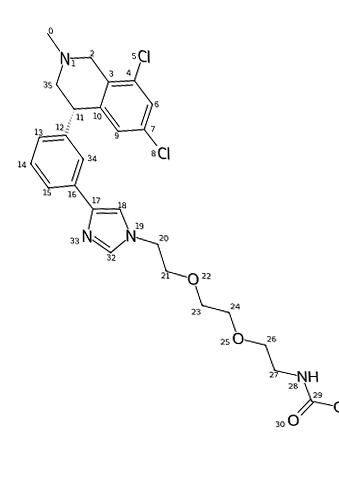 CN1Cc2c(Cl)cc(Cl)cc2[C@H](c2cccc(-c3cn(CCOCCOCCNC(=O)O)cn3)c2)C1